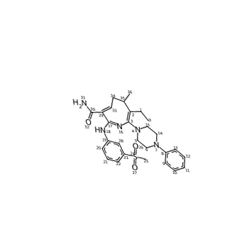 CC/C1=C(N2CCN(c3ccccc3)CC2)/N=C(Nc2cccc(S(C)(=O)=O)c2)\C(C(N)=O)=C\CC1C